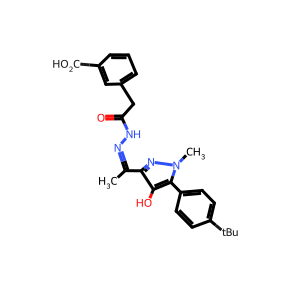 C/C(=N/NC(=O)Cc1cccc(C(=O)O)c1)c1nn(C)c(-c2ccc(C(C)(C)C)cc2)c1O